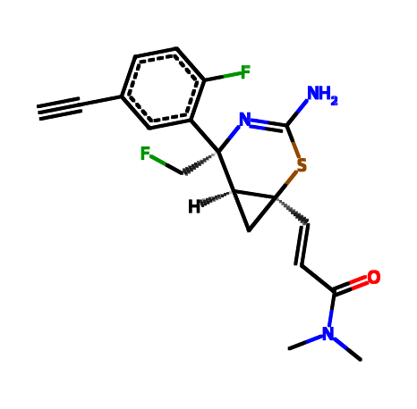 C#Cc1ccc(F)c([C@@]2(CF)N=C(N)S[C@@]3(/C=C/C(=O)N(C)C)C[C@H]32)c1